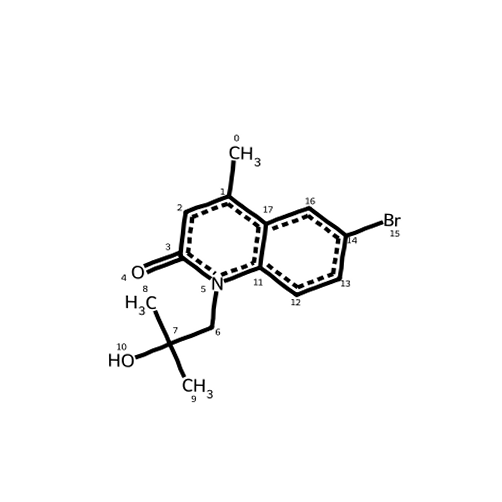 Cc1cc(=O)n(CC(C)(C)O)c2ccc(Br)cc12